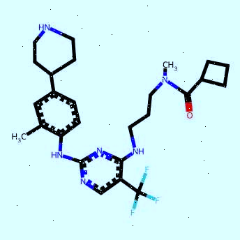 Cc1cc(C2CCNCC2)ccc1Nc1ncc(C(F)(F)F)c(NCCCN(C)C(=O)C2CCC2)n1